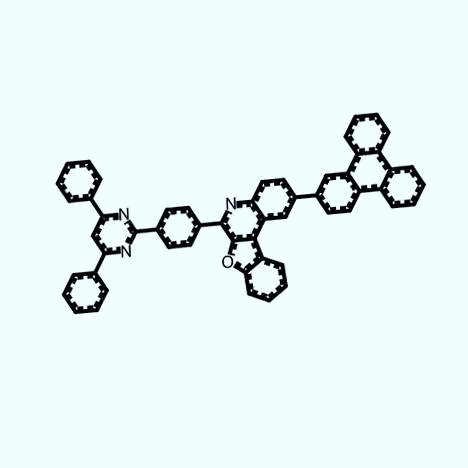 c1ccc(-c2cc(-c3ccccc3)nc(-c3ccc(-c4nc5ccc(-c6ccc7c8ccccc8c8ccccc8c7c6)cc5c5c4oc4ccccc45)cc3)n2)cc1